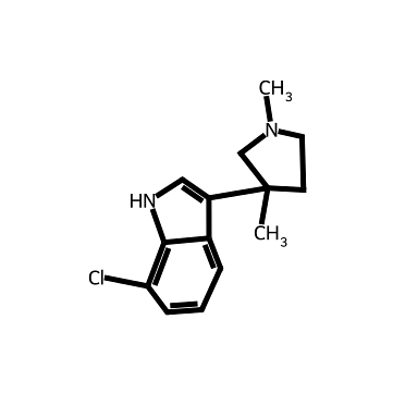 CN1CCC(C)(c2c[nH]c3c(Cl)cccc23)C1